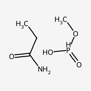 CCC(N)=O.CO[PH](=O)O